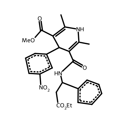 CCOC(=O)CC(NC(=O)C1=C(C)NC(C)=C(C(=O)OC)C1c1cccc([N+](=O)[O-])c1)c1ccccc1